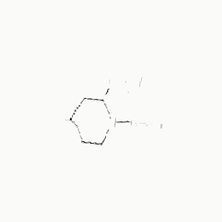 CCCCN1CCCC[C@H]1C(=O)O